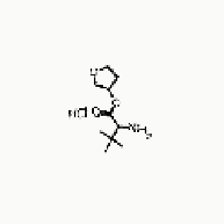 CC(C)(C)C(N)C(=O)OC1CCOC1.Cl